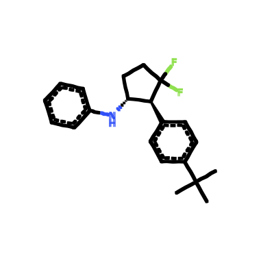 CC(C)(C)c1ccc([C@H]2[C@H](Nc3ccccc3)CCC2(F)F)cc1